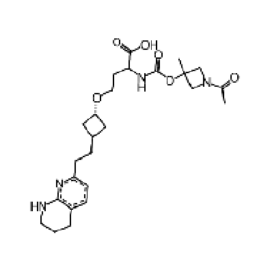 CC(=O)N1CC(C)(OC(=O)NC(CCO[C@H]2C[C@H](CCc3ccc4c(n3)NCCC4)C2)C(=O)O)C1